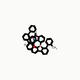 Cc1ccccc1-c1cccc2c3cccc(-c4ccccc4C)c3n(-c3cccc4c3C(=O)N(c3c(-c5ccccc5)cccc3-c3ccccc3)C4=O)c12